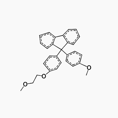 COCCOc1ccc(C2(c3ccc(OC)cc3)c3ccccc3-c3ccccc32)cc1